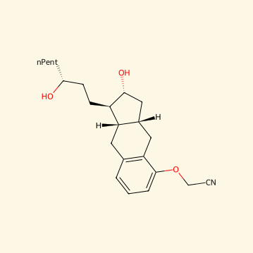 CCCCC[C@@H](O)CC[C@@H]1[C@H]2Cc3cccc(OCC#N)c3C[C@H]2C[C@H]1O